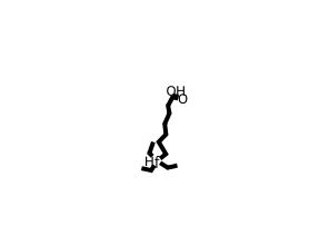 C[CH2][Hf]([CH2]C)([CH2]C)[CH2]CCCCCC(=O)O